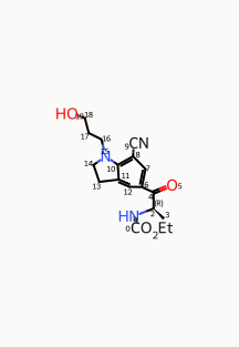 CCOC(=O)N[C@H](C)C(=O)c1cc(C#N)c2c(c1)CCN2CCCO